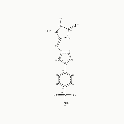 CN1C(=O)C(=Cc2ccc(-c3ccc(S(N)(=O)=O)cc3)o2)SC1=S